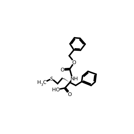 CSCC[C@@](Cc1ccccc1)(NC(=O)OCc1ccccc1)C(=O)O